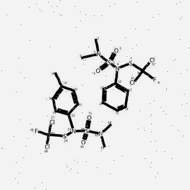 CN(C)S(=O)(=O)N(SC(F)(Cl)Cl)c1ccccc1.Cc1ccc(N(SC(F)(Cl)Cl)S(=O)(=O)N(C)C)cc1